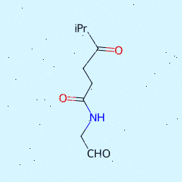 CC(C)C(=O)CCC(=O)NCC=O